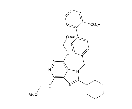 COCOc1nnc(OCOC)c2c1nc(C1CCCCC1)n2Cc1ccc(-c2ccccc2C(=O)O)cc1